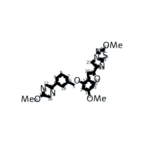 COc1cc(OCc2cccc(-c3cnc(OC)cn3)c2)c2cc(-c3cn4nc(OC)sc4n3)oc2c1